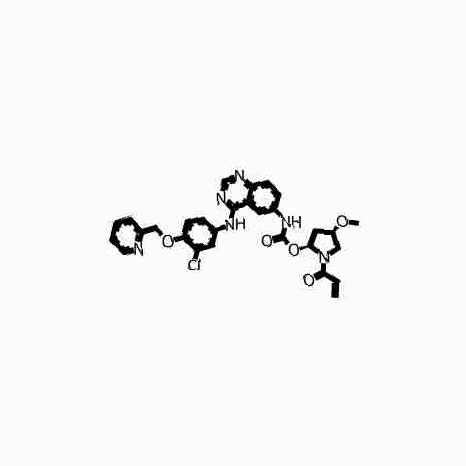 C=CC(=O)N1C[C@H](OC)C[C@@H]1OC(=O)Nc1ccc2ncnc(Nc3ccc(OCc4ccccn4)c(Cl)c3)c2c1